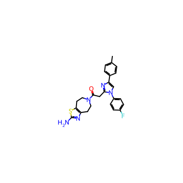 Cc1ccc(-c2cn(-c3ccc(F)cc3)c(CC(=O)N3CCc4nc(N)sc4CC3)n2)cc1